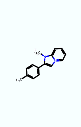 Cc1ccc(-c2c[n+]3ccccc3n2C)cc1.[I-]